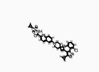 O=C(NS(=O)(=O)C1CC1)c1ccc2cc(N3CCC4(C=C(c5c(-c6c(Cl)cccc6Cl)noc5C5CC5)C4)CC3)ccc2n1